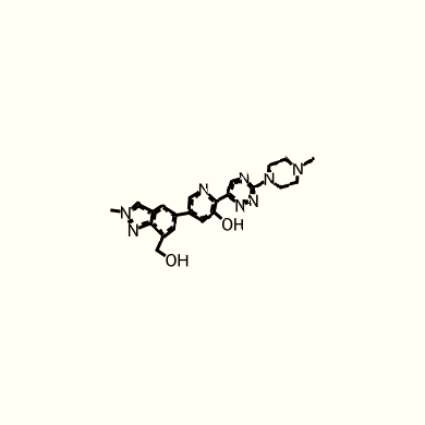 CN1CCN(c2ncc(-c3ncc(-c4cc(CO)c5nn(C)cc5c4)cc3O)nn2)CC1